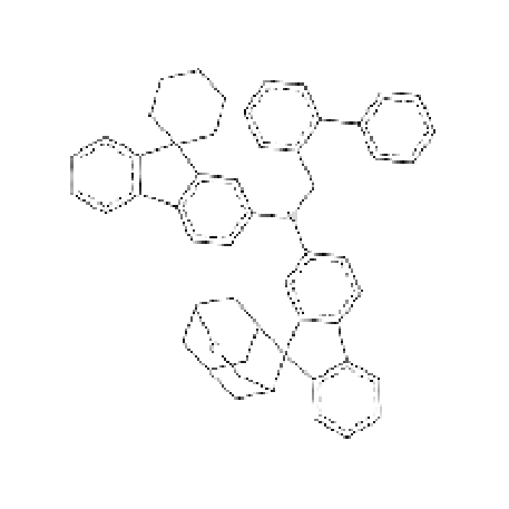 c1ccc(-c2ccccc2CN(c2ccc3c(c2)C2(CCCCC2)c2ccccc2-3)c2ccc3c(c2)C2(c4ccccc4-3)C3CCC4CC(C3)CC2C4)cc1